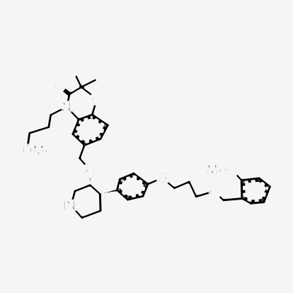 COCCCN1C(=O)C(C)(C)Oc2ccc(CO[C@H]3CNCC[C@@H]3c3ccc(OCCCOCc4ccccc4OC)cc3)cc21